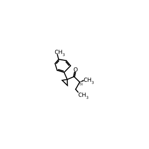 CC[C@H](C)C(=O)C1(c2ccc(C)cc2)CC1